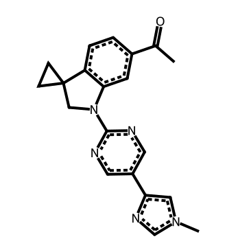 CC(=O)c1ccc2c(c1)N(c1ncc(-c3cn(C)cn3)cn1)CC21CC1